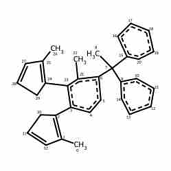 CC1=C(c2ccc(C(C)(c3ccccc3)c3ccccc3)c(C)c2C2=C(C)C=CC2)CC=C1